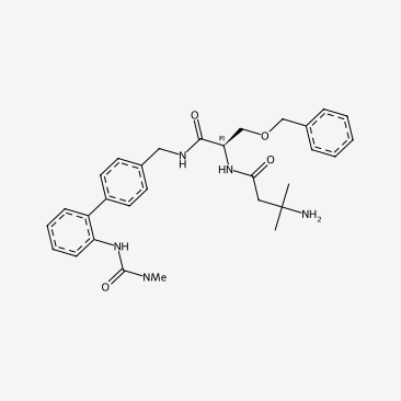 CNC(=O)Nc1ccccc1-c1ccc(CNC(=O)[C@@H](COCc2ccccc2)NC(=O)CC(C)(C)N)cc1